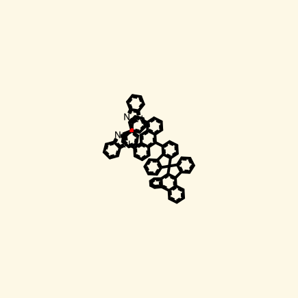 c1ccc(-c2nc3ccccc3n2-c2cccc3c(-c4cccc5c4-c4ccccc4C54c5ccccc5-c5c4c4ccccc4c4ccccc54)c4cccc(-n5c(-c6ccccc6)nc6ccccc65)c4cc23)cc1